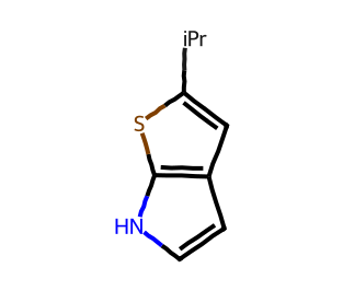 CC(C)c1cc2cc[nH]c2s1